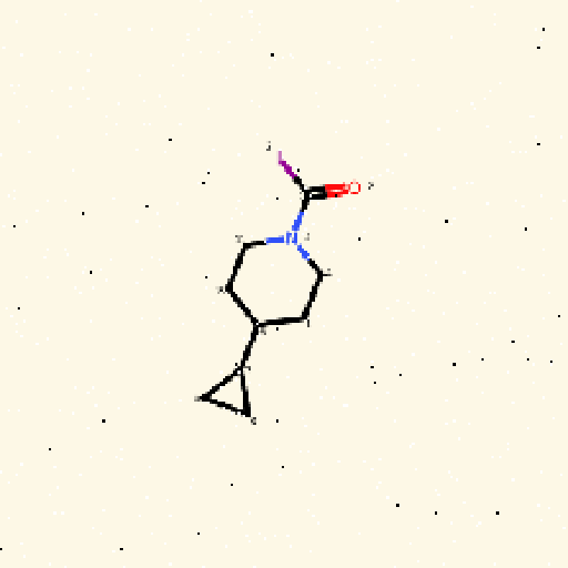 O=C(I)N1CCC(C2CC2)CC1